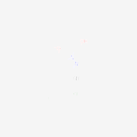 Cc1nn(CCO)c(-c2ccco2)c1Cc1cc(Cl)cc(Cl)c1